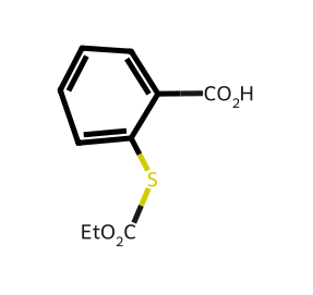 CCOC(=O)Sc1ccccc1C(=O)O